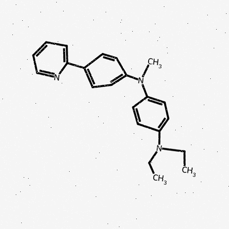 CCN(CC)c1ccc(N(C)c2ccc(-c3ccccn3)cc2)cc1